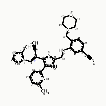 C#C/C(=C\n1ncnc1C)c1nc(CNc2cc(C#N)ccc2CN2CCOCC2)[nH]c1-c1cccc(C)n1